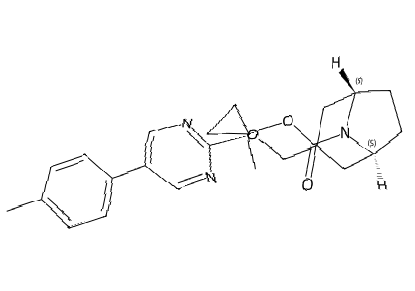 Cc1ccc(-c2cnc(OCC3C[C@@H]4CC[C@@H](C3)N4C(=O)OC3(C)CC3)nc2)cc1